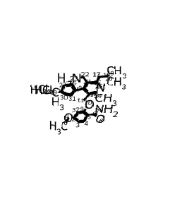 COc1ccc(C(N)=O)c(OCc2c(C)nc(CC(C)C)c(CN)c2-c2ccc(C)cc2)c1.Cl.Cl